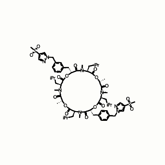 CC(C)C[C@H]1C(=O)O[C@H](Cc2cccc(Cn3cc(S(C)(=O)=O)cn3)c2)C(=O)N(C)[C@@H](CC(C)C)C(=O)O[C@H](C)C(=O)N(C)[C@@H](CC(C)C)C(=O)O[C@H](Cc2ccc(Cn3cc(S(C)(=O)=O)cn3)cc2)C(=O)N(C)[C@@H](CC(C)C)C(=O)O[C@H](C)C(=O)N1C